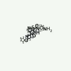 Cc1cc(OC2CCCC2)ncc1N1C(=O)Nc2c(C(=O)N[C@@H]3CC[C@H](N)C3)sc3nccc1c23